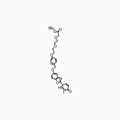 CN1NC(c2nc3cc(OCc4ccc(OCCOCCOCC(=O)OC(C)(C)C)cn4)ccc3o2)C=CC1=O